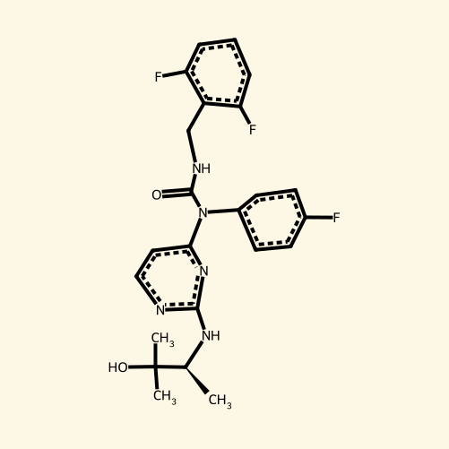 C[C@H](Nc1nccc(N(C(=O)NCc2c(F)cccc2F)c2ccc(F)cc2)n1)C(C)(C)O